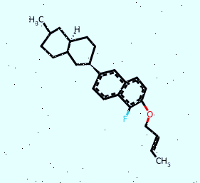 C/C=C/COc1ccc2cc([C@@H]3CC[C@@H]4CC(C)CCC4C3)ccc2c1F